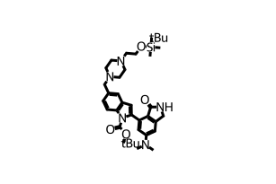 CN(C)c1cc2c(c(-c3cc4cc(CN5CCN(CCO[Si](C)(C)C(C)(C)C)CC5)ccc4n3C(=O)OC(C)(C)C)c1)C(=O)NC2